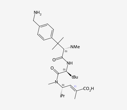 CN[C@H](C(=O)N[C@H](C(=O)N(C)[C@H](/C=C(\C)C(=O)O)C(C)C)C(C)(C)C)C(C)(C)c1ccc(CN)cc1